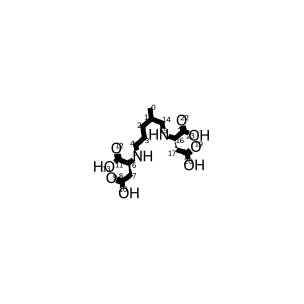 CC(CCCN[C@@H](CC(=O)O)C(=O)O)CN[C@@H](CC(=O)O)C(=O)O